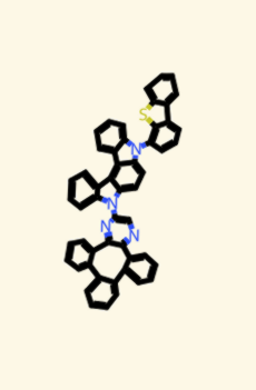 c1ccc2c(c1)-c1ccccc1-c1ncc(-n3c4ccccc4c4c5c6ccccc6n(-c6cccc7c6sc6ccccc67)c5ccc43)nc1-c1ccccc1-2